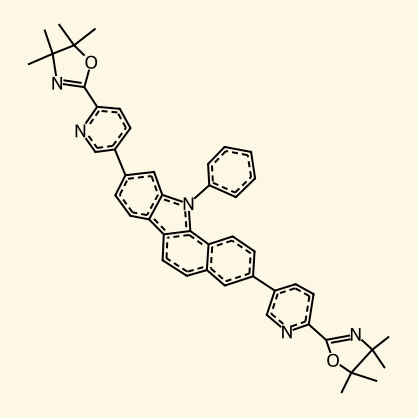 CC1(C)N=C(c2ccc(-c3ccc4c(ccc5c6ccc(-c7ccc(C8=NC(C)(C)C(C)(C)O8)nc7)cc6n(-c6ccccc6)c45)c3)cn2)OC1(C)C